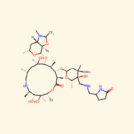 CC[C@H]1OC(=O)[C@H](C)[C@@H](O[C@H]2C[C@@](C)(OC)[C@](O)(CNCC3CCC(=O)N3)[C@H](C)O2)[C@H](C)[C@@H](O[C@@H]2O[C@H](C)C[C@H]3[C@H]2OC(C(F)(F)F)N3C)[C@](C)(O)C[C@@H](C)CN[C@H](C)[C@@H](O)[C@]1(C)O